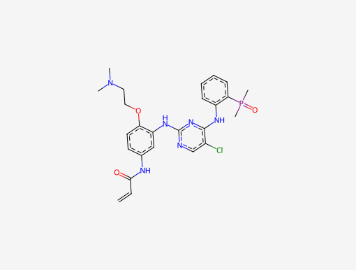 C=CC(=O)Nc1ccc(OCCN(C)C)c(Nc2ncc(Cl)c(Nc3ccccc3P(C)(C)=O)n2)c1